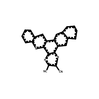 N#Cc1nc2c3cc4ccccc4cc3c3cc4ccccc4nc3c2nc1C#N